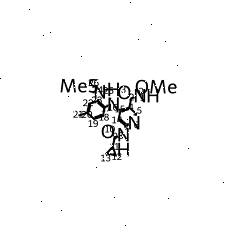 CONC(=O)c1cnc(NC(=O)C2CC2)cc1Nc1ccc(C)cc1N(C)SC